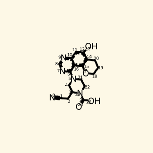 N#CCC1CN(c2ncnc3cc(O)c4c(c23)OCCC4)CCN1C(=O)O